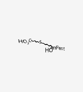 CCCCC[C@H](O)C=CC=CCCSCC=CCCCC(=O)O